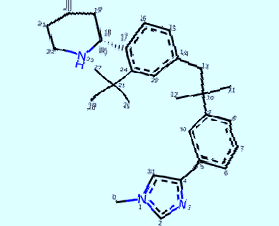 Cn1cnc(-c2cccc(C(C)(C)Cc3ccc([C@H]4CCCCN4)c(C(C)(C)C)c3)c2)c1